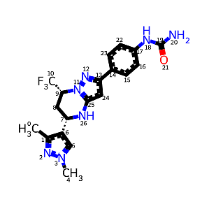 Cc1nn(C)cc1[C@@H]1C[C@H](C(F)(F)F)n2nc(-c3ccc(NC(N)=O)cc3)cc2N1